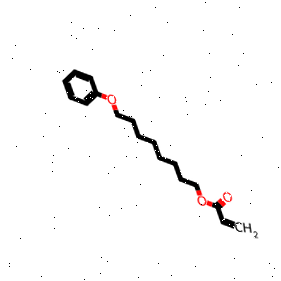 C=CC(=O)OCCCCCCCCOc1ccccc1